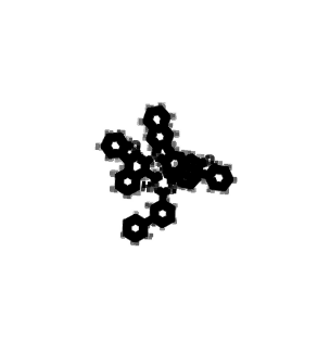 c1ccc(-c2cccc(C3N=C(c4ccc5oc6ccccc6c5c4)N=C(c4c(-n5c6cc7ccccc7cc6c6cc7ccccc7cc65)c5oc6ccccc6c5c5ccccc45)N3)c2)cc1